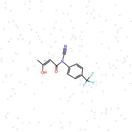 C/C(O)=C/C(=O)N(C#N)c1ccc(C(F)(F)F)cc1